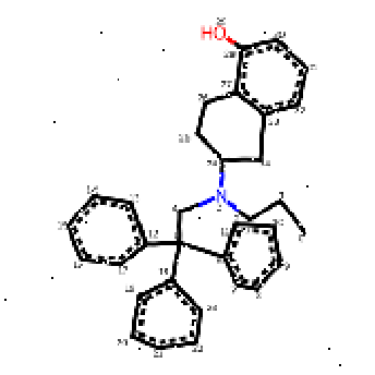 CCCN(CC(c1ccccc1)(c1ccccc1)c1ccccc1)C1CCc2c(O)cccc2C1